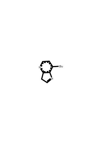 CC(C)(C)c1ccnc2c1N=CC2